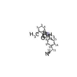 CC12CCC(/C(=C/c3ccc(CC#N)cc3)C1=O)C2(C)C